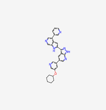 c1cncc(-c2cncc3[nH]c(-c4n[nH]c5ncc(-c6cncc(OC7CCCCC7)c6)cc45)cc23)c1